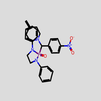 C=C1CCN(C(c2ccc([N+](=O)[O-])cc2)P2(=O)N(c3ccccc3)CCN2c2ccccc2)CC1